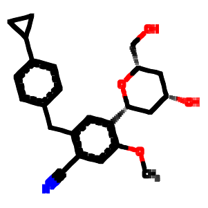 COc1cc(C#N)c(Cc2ccc(C3CC3)cc2)cc1[C@H]1C[C@@H](O)C[C@@H](CO)O1